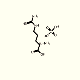 N=C(N)NCCC[C@H](N)C(=O)O.[O]=[Cr](=[O])([OH])[OH]